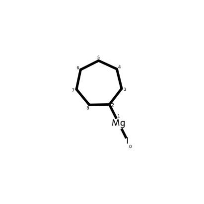 [I][Mg][CH]1CCCCCC1